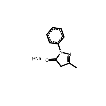 CC1=NN(c2ccccc2)C(=O)C1.[NaH]